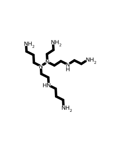 NCCCNCCN(CCCN)N(CCN)CCNCCN